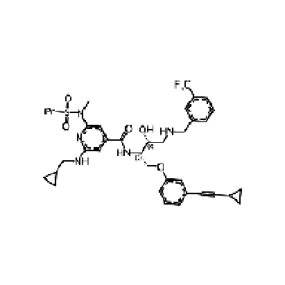 CC(C)S(=O)(=O)N(C)c1cc(C(=O)N[C@@H](COc2cccc(C#CC3CC3)c2)[C@H](O)CNCc2cccc(C(F)(F)F)c2)cc(NCC2CC2)n1